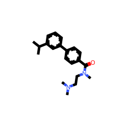 CC(C)c1cccc(-c2ccc(C(=O)N(C)CCN(C)C)cc2)c1